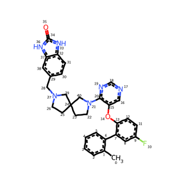 Cc1ccccc1-c1cc(F)ccc1Oc1cncnc1N1CCC2(CCN(Cc3ccc4[nH]c(=O)[nH]c4c3)C2)C1